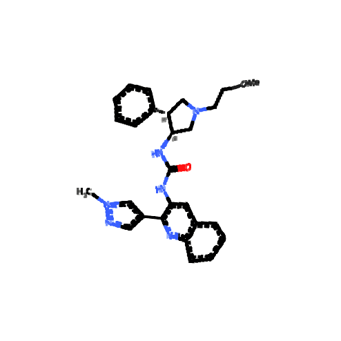 COCCN1C[C@@H](NC(=O)Nc2cc3ccccc3nc2-c2cnn(C)c2)[C@H](c2ccccc2)C1